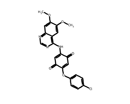 COc1cc2ncnc(NC3=CC(=O)C(Oc4ccc(Cl)cc4)=CC3=O)c2cc1OC